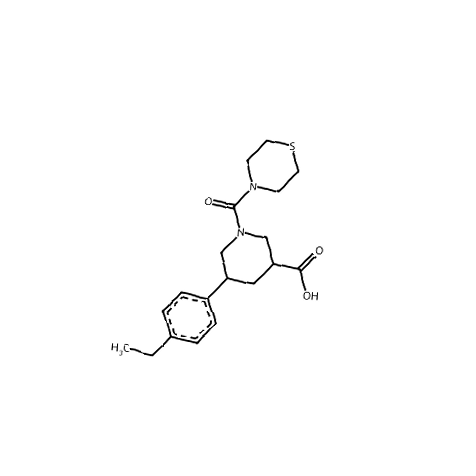 CCc1ccc(C2CC(C(=O)O)CN(C(=O)N3CCSCC3)C2)cc1